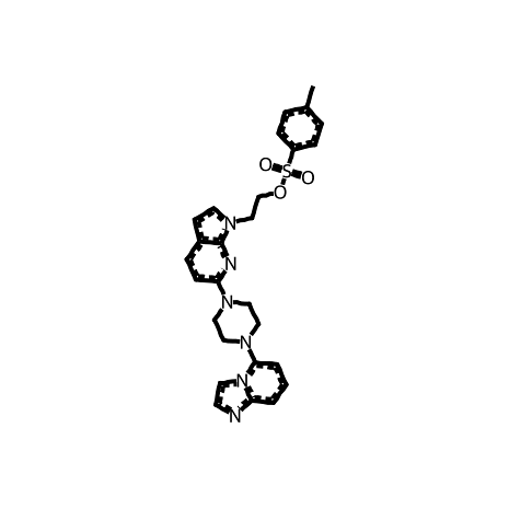 Cc1ccc(S(=O)(=O)OCCn2ccc3ccc(N4CCN(c5cccc6nccn56)CC4)nc32)cc1